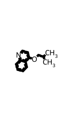 CC(C)COc1ccnc2ccccc12